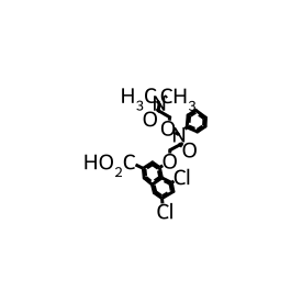 CN(C)C(=O)CON(C(=O)COc1cc(C(=O)O)cc2cc(Cl)cc(Cl)c12)c1ccccc1